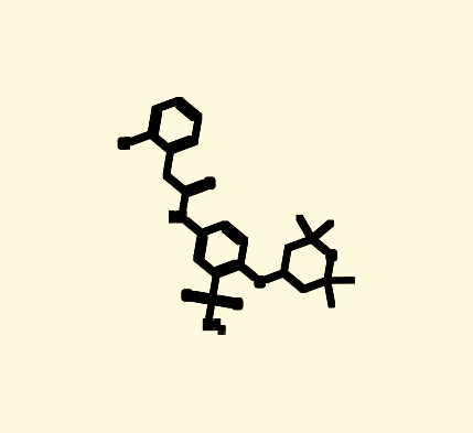 CC1(C)CC(Oc2ccc(NC(=O)Cc3ccccc3Cl)cc2S(N)(=O)=O)CC(C)(C)O1